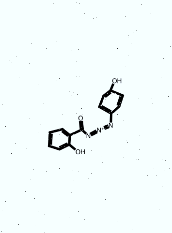 O=C(N=[N+]=Nc1ccc(O)cc1)c1ccccc1O